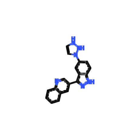 C1=CN(c2ccc3[nH]nc(-c4cnc5ccccc5c4)c3c2)NN1